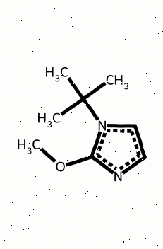 COc1nccn1C(C)(C)C